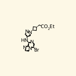 CCOC(=O)C[C@H]1C[C@H](n2cc(Nc3ncc(Br)n4ccnc34)cn2)C1